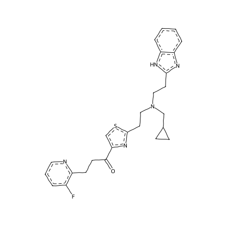 O=C(CCc1ncccc1F)c1csc(CCN(CCc2nc3ccccc3[nH]2)CC2CC2)n1